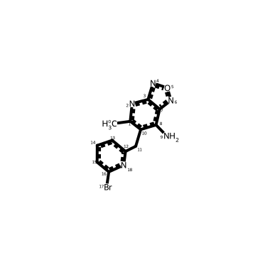 Cc1nc2nonc2c(N)c1Cc1cccc(Br)n1